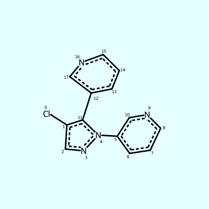 Clc1cnn(-c2cccnc2)c1-c1cccnc1